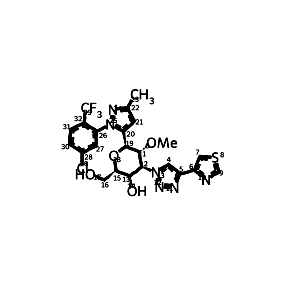 CO[C@@H]1[C@@H](n2cc(-c3cscn3)nn2)[C@@H](O)[C@@H](CO)O[C@H]1c1cc(C)nn1-c1cc(Cl)ccc1C(F)(F)F